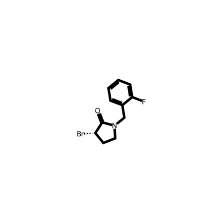 O=C1[C@@H](Br)CCN1Cc1ccccc1F